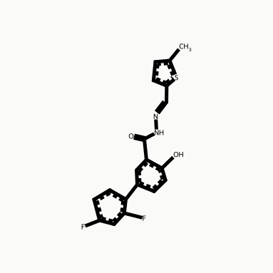 Cc1ccc(C=NNC(=O)c2cc(-c3ccc(F)cc3F)ccc2O)s1